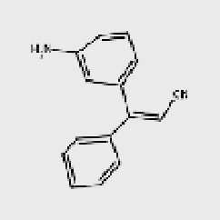 N#CC=C(c1ccccc1)c1cccc(N)c1